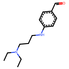 CCN(CC)CCCNc1ccc(C=O)cc1